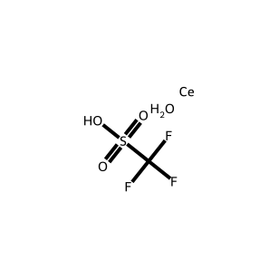 O.O=S(=O)(O)C(F)(F)F.[Ce]